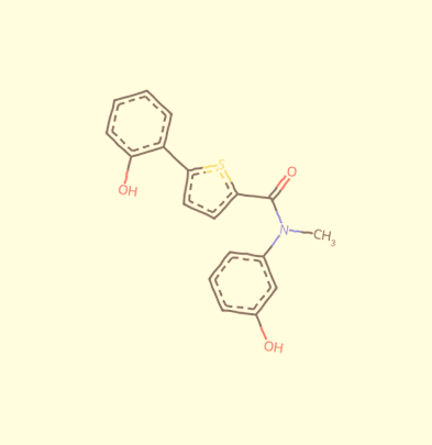 CN(C(=O)c1ccc(-c2ccccc2O)s1)c1cccc(O)c1